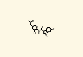 CC(=O)Cc1ccc(NC(=O)c2cn(C)c3cc(F)ccc23)c(Cl)c1